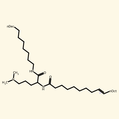 CCCCCCCC/C=C/CCCCCCCC(=O)NC(CCCN(C)C)C(=O)NCCCCCCCCCCCCCCCCC